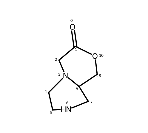 O=C1CN2CCNCC2[CH]O1